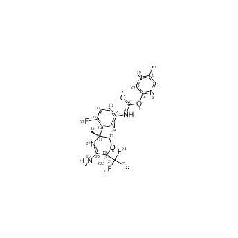 Cc1cnc(OC(=O)Nc2ccc(F)c([C@]3(C)CO[C@@](C)(C(F)(F)F)C(N)=N3)n2)cn1